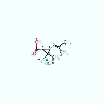 CC(C)=C[C@H]1[C@@H](C(=O)O)C1(C)C.Cl